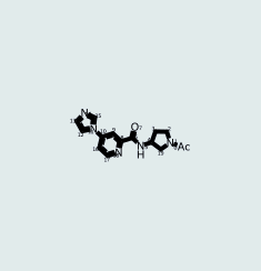 CC(=O)N1CCC(NC(=O)c2cc(-n3ccnc3)ccn2)C1